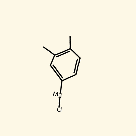 Cc1cc[c]([Mg][Cl])cc1C